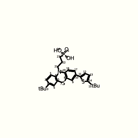 CC(C)(C)c1ccc2c(c1)Sc1cc(-c3ccc(C(C)(C)C)s3)ccc1N2CCCP(=O)(O)O